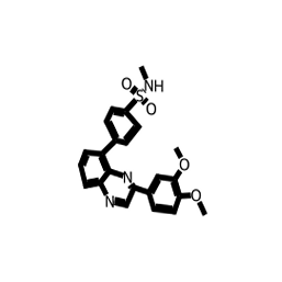 CNS(=O)(=O)c1ccc(-c2cccc3ncc(-c4ccc(OC)c(OC)c4)nc23)cc1